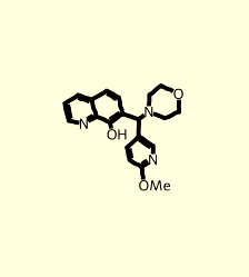 COc1ccc(C(c2ccc3cccnc3c2O)N2CCOCC2)cn1